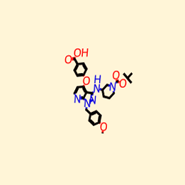 COc1ccc(Cn2nc(NC3CCCN(C(=O)OC(C)(C)C)C3)c3c(Oc4ccc(C(=O)O)cc4)ccnc32)cc1